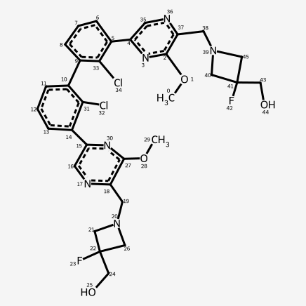 COc1nc(-c2cccc(-c3cccc(-c4cnc(CN5CC(F)(CO)C5)c(OC)n4)c3Cl)c2Cl)cnc1CN1CC(F)(CO)C1